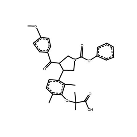 CSc1ccc(C(=O)C2CN(C(=O)Oc3ccccc3)CC2c2ccc(C)c(OC(C)(C)C(=O)O)c2C)cc1